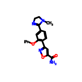 CC(C)Oc1cc(C2=NCCN2C)ccc1-c1cc(C(N)=O)on1